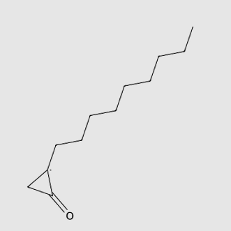 CCCCCCCCC[C]1CC1=O